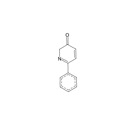 O=C1C=CC(c2ccccc2)=NC1